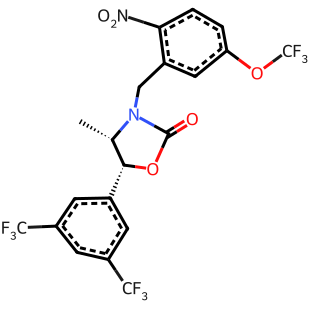 C[C@H]1[C@@H](c2cc(C(F)(F)F)cc(C(F)(F)F)c2)OC(=O)N1Cc1cc(OC(F)(F)F)ccc1[N+](=O)[O-]